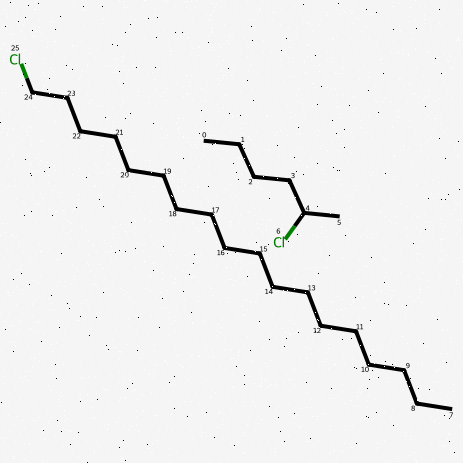 CCCCC(C)Cl.CCCCCCCCCCCCCCCCCCCl